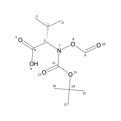 CC(C)[C@@H](C(=O)O)N(OC=O)C(=O)OC(C)(C)C